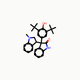 CN1CC(C2(c3cc(C(C)(C)C)c(O)c(C(C)(C)C)c3)C(=O)Nc3ccccc32)c2ccccc21